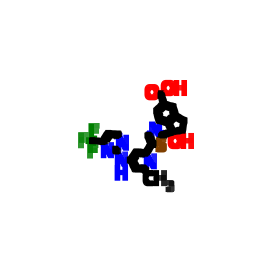 Cc1cc(Nc2nccc(C(F)(F)F)n2)cc(-c2cnc([C@]3(O)CCc4cc(C(=O)O)ccc43)s2)n1